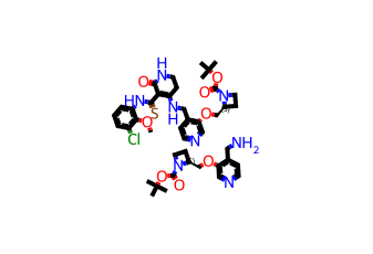 CC(C)(C)OC(=O)N1CC[C@H]1COc1cnccc1CN.COc1c(Cl)cccc1NC(=S)C1=C(NCc2ccncc2OC[C@@H]2CCN2C(=O)OC(C)(C)C)CCNC1=O